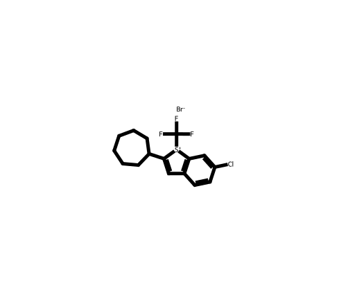 FC(F)(F)[s+]1c(C2CCCCCC2)cc2ccc(Cl)cc21.[Br-]